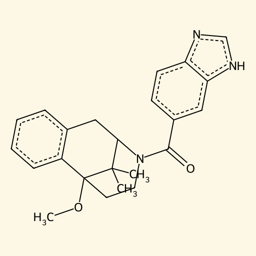 COC12CCN(C(=O)c3ccc4nc[nH]c4c3)C(Cc3ccccc31)C2(C)C